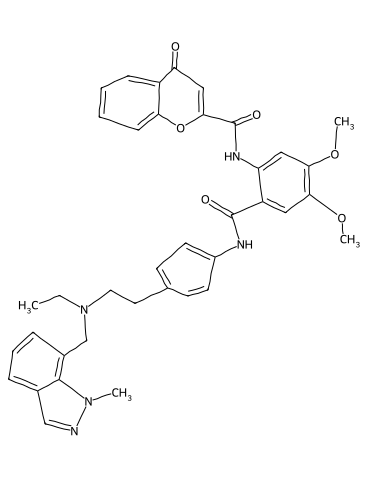 CCN(CCc1ccc(NC(=O)c2cc(OC)c(OC)cc2NC(=O)c2cc(=O)c3ccccc3o2)cc1)Cc1cccc2cnn(C)c12